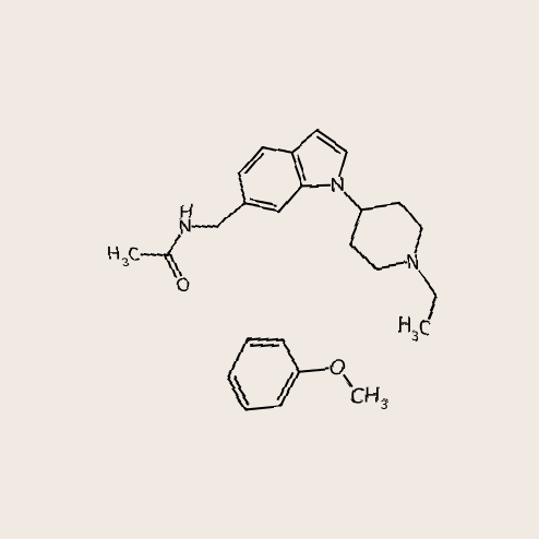 CCN1CCC(n2ccc3ccc(CNC(C)=O)cc32)CC1.COc1ccccc1